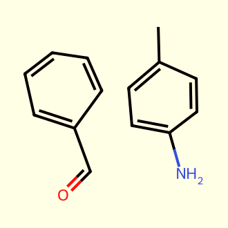 Cc1ccc(N)cc1.O=Cc1ccccc1